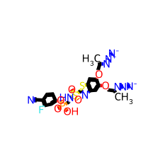 CC(COc1cc2nc(S(=O)(=O)NCP(=O)(O)Oc3ccc(C#N)c(F)c3)sc2cc1OCC(C)N=[N+]=[N-])N=[N+]=[N-]